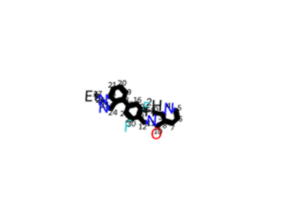 [2H]C1([2H])c2ncccc2C(=O)N1Cc1c(F)cc(-c2cccc3c2cnn3CC)cc1F